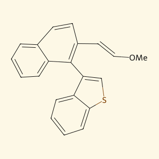 COC=Cc1ccc2ccccc2c1-c1csc2ccccc12